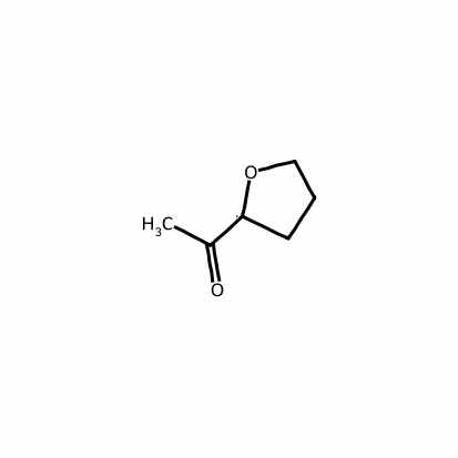 CC(=O)[C]1CCCO1